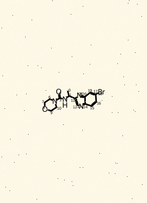 CC(NC(=O)N1CCOCC1)c1cnc2ccc(Br)cc2n1